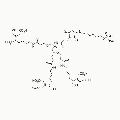 COP(=O)(O)OCCCCCCSC1CC(=O)N(CCC(=O)NC(COCCC(=O)NCCCCC(C(=O)O)N(CC(C)=O)CC(=O)O)(COCCC(=O)NCCCCC(C(=O)O)N(CC(=O)O)CC(=O)O)COCCC(=O)NCCCCC(C(=O)O)N(CC(=O)O)CC(=O)O)C1=O